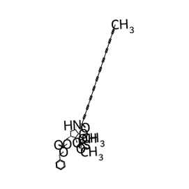 CC#CC#CC#CC#CC#CC#CC#CC#CC#CC#CC(=O)N[C@H]1C[C@H](COC(=O)OCc2ccccc2)[C@H](OP(O)(=S)OC)C1OC